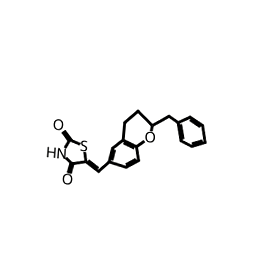 O=C1NC(=O)C(=Cc2ccc3c(c2)CCC(Cc2ccccc2)O3)S1